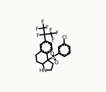 O=S(=O)(c1cccc(Cl)c1)C12CCNC1CCc1cc(C(F)(C(F)(F)F)C(F)(F)F)ccc12